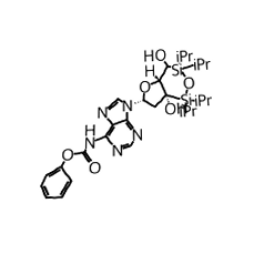 CC(C)[Si]1(C(C)C)O[Si](C(C)C)(C(C)C)[C@@]2(O)C[C@H](n3cnc4c(NC(=O)Oc5ccccc5)ncnc43)O[C@@H]2C1O